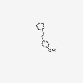 CC(=O)Oc1ccc(C=Cc2ccccc2)cc1